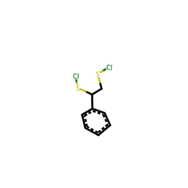 ClSCC(SCl)c1ccccc1